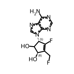 Nc1ncnc2c1ncn2[C@@H]1C(F)=C(CF)[C@@H](O)C1O